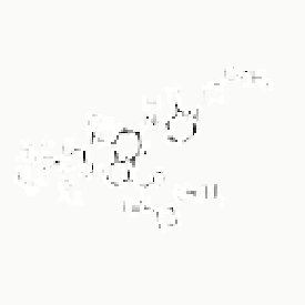 CO[C@@H]1CC[C@H]1NC(=O)c1cnc2c(N(C)C(=O)OC(C)(C)C)cc(Nc3cccn([C@H]4C[C@H](OC)C4)c3=O)nn12